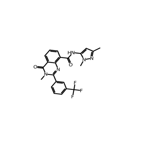 Cc1cc(NC(=O)c2cccc3c(=O)n(C)c(-c4cccc(C(F)(F)F)c4)nc23)n(C)n1